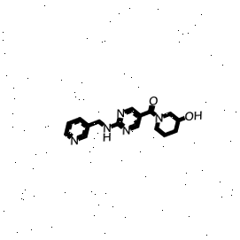 O=C(c1cnc(NCc2cccnc2)nc1)N1CCCC(O)C1